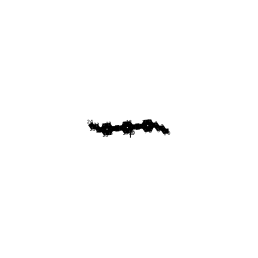 CCCCCc1ccc(C#Cc2ccc(C#Cc3ccc(CCCC)cc3)cc2F)cc1